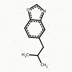 [CH2]C(C)Cc1ccc2ocnc2c1